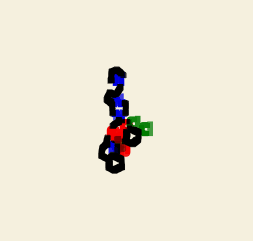 O=C(COCC1CCc2ccccc2N1S(=O)(=O)c1ccc(Cl)c(Cl)c1)N1CCn2c(CN3CCCC3)ccc2C1